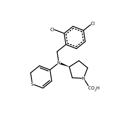 O=C(O)N1CC[C@H](N(Cc2ccc(Cl)cc2Cl)C2=CCSC=C2)C1